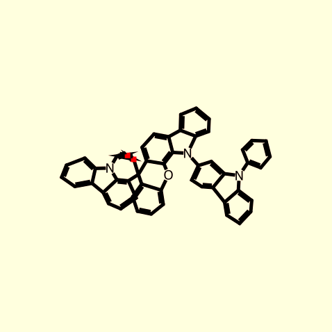 c1ccc(-n2c3ccccc3c3ccc(-n4c5ccccc5c5ccc6c(c54)Oc4ccccc4C64c5ccccc5-n5c6ccccc6c6cccc4c65)cc32)cc1